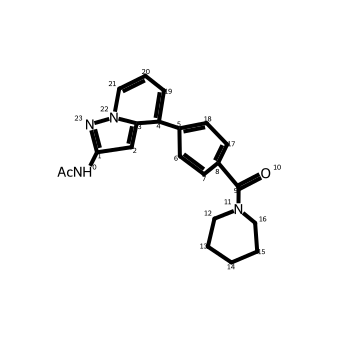 CC(=O)Nc1cc2c(-c3ccc(C(=O)N4CCCCC4)cc3)cccn2n1